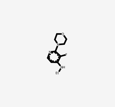 CCNc1ccnc(N2CCOCC2)c1F